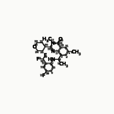 Cc1cc([C@@H](C)Nc2ccc(F)cc2C(F)F)c2nc(C3CCOCC3)n(C)c(=O)c2c1